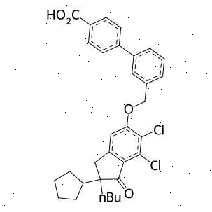 CCCCC1(C2CCCC2)Cc2cc(OCc3cccc(-c4ccc(C(=O)O)cc4)c3)c(Cl)c(Cl)c2C1=O